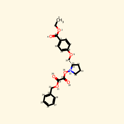 CCOC(=O)c1ccc(OC[C@@H]2CCCN2OC(=O)C(=O)OCc2ccccc2)cc1